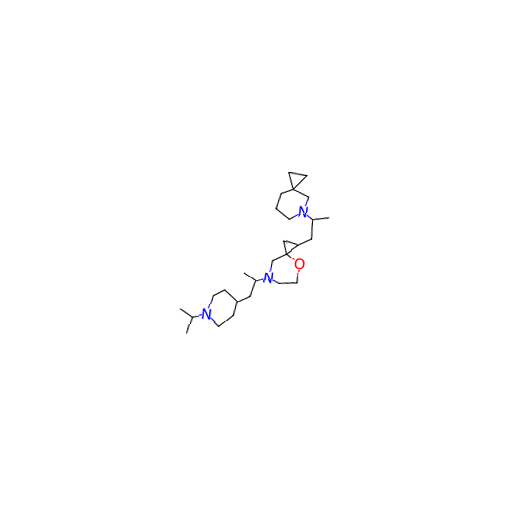 CC(C)N1CCC(CC(C)N2CCOC3(CC3CC(C)N3CCCC4(CC4)C3)C2)CC1